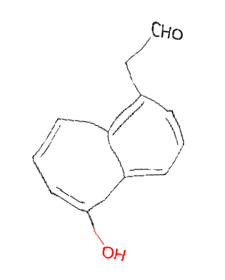 O=CCc1cccc2c(O)cccc12